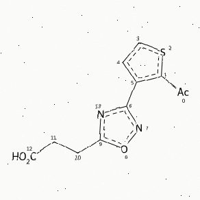 CC(=O)c1sccc1-c1noc(CCC(=O)O)n1